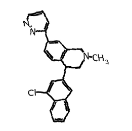 CN1Cc2cc(-c3cccnn3)ccc2C(c2cc(Cl)c3ccccc3c2)C1